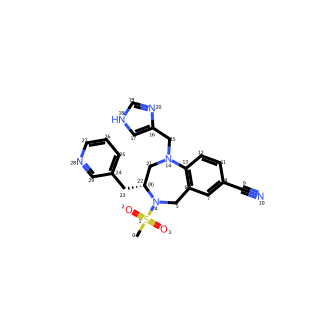 CS(=O)(=O)N1Cc2cc(C#N)ccc2N(Cc2c[nH]cn2)C[C@H]1Cc1cccnc1